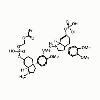 COc1ccc([C@@]23CCC(OP(=O)(O)O)=C[C@@H]2N(C)CC3)cc1OC.COc1ccc([C@@]23CCC(OP(=O)(O)OCOC(=O)C(C)C)=C[C@@H]2N(C)CC3)cc1OC